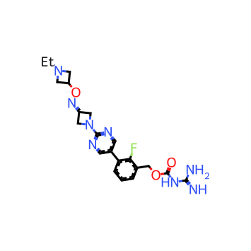 CCN1CC(ON=C2CN(c3ncc(-c4cccc(COC(=O)NC(=N)N)c4F)cn3)C2)C1